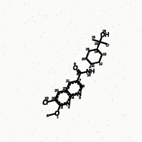 COc1nc2ncc(C(=O)N[C@H]3CC[C@H](C(C)(C)O)CC3)cc2cc1Cl